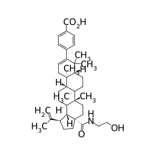 C=C(C)[C@@H]1CC[C@]2(C(=O)NCCO)CC[C@]3(C)[C@H](CC[C@@H]4[C@@]5(C)CC=C(c6ccc(C(=O)O)cc6)C(C)(C)[C@@H]5CC[C@]43C)[C@@H]12